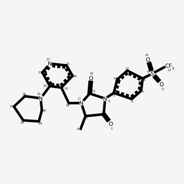 CC1C(=O)N(c2ccc(S(=O)(=O)C(F)(F)F)cc2)C(=O)N1Cc1ccncc1N1CCCCC1